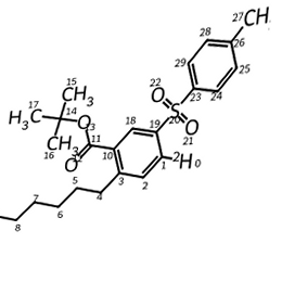 [2H]c1cc(CCCCCC)c(C(=O)OC(C)(C)C)cc1S(=O)(=O)c1ccc(C)cc1